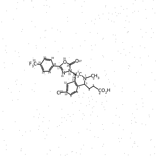 CN(C)C(CCC(=O)O)c1ccc(Cl)cc1Cn1nc(-c2ccc(C(F)(F)F)cc2)oc1=O